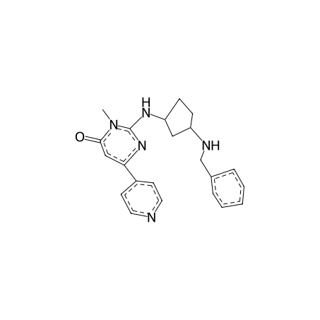 Cn1c(NC2CCC(NCc3ccccc3)C2)nc(-c2ccncc2)cc1=O